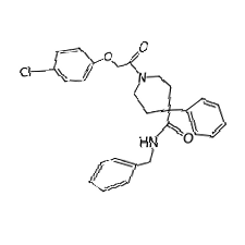 O=C(COc1ccc(Cl)cc1)N1CCC(C(=O)NCc2ccccc2)(c2ccccc2)CC1